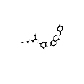 CCOC(=O)NC(=O)C(C#N)=NNc1cc(Cl)c(Oc2ccc3c(c2)CCN(Cc2ccc(F)cc2)C3=O)c(Cl)c1